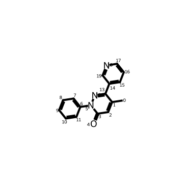 Cc1cc(=O)n(-c2ccccc2)nc1-c1cccnc1